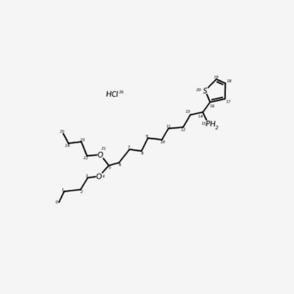 CCCCOC(CCCCCCCCC(P)c1cccs1)OCCCC.Cl